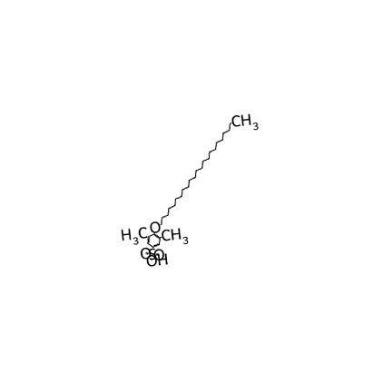 CCCCCCCCCCCCCCCCCCCCCCCOc1c(C)cc(S(=O)(=O)O)cc1C